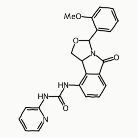 COc1ccccc1C1OCC2c3c(NC(=O)Nc4ccccn4)cccc3C(=O)N21